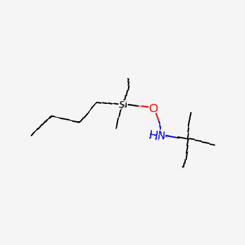 CCCC[Si](C)(C)ONC(C)(C)C